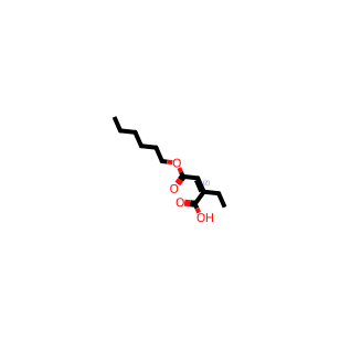 CCCCCCOC(=O)/C=C(/CC)C(=O)O